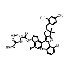 CCc1cccc(CC)c1-n1nc2c(c1-c1ccc(F)c3c1ccn3OC(=O)[C@@H](CS)NC(=O)OC(C)(C)C)CN(Cc1ccc(C(F)(F)F)cc1C(F)(F)F)C2(C)C